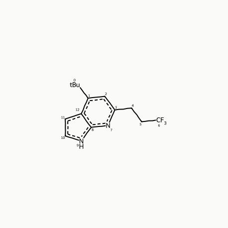 CC(C)(C)c1cc(CCC(F)(F)F)nc2[nH]ccc12